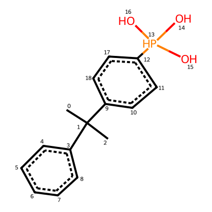 CC(C)(c1ccccc1)c1ccc([PH](O)(O)O)cc1